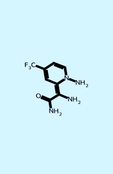 NC(=O)/C(N)=C1\C=C(C(F)(F)F)C=CN1N